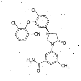 Cc1cc(C(N)=O)cc(N2C[C@@H](c3ccc(Cl)c(Oc4c(Cl)cccc4C#N)c3)CC2=O)c1